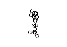 O=S(=O)(c1cccc(Cl)c1Cl)C1CCN(c2nc(Cc3cc(Cl)cc(Cl)c3)cs2)CC1